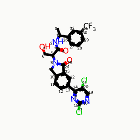 CC(NC(=O)C(CO)N1Cc2ccc(-c3nc(Cl)ncc3Cl)cc2C1=O)c1cccc(C(F)(F)F)c1